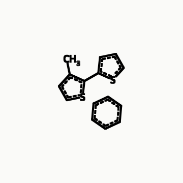 Cc1ccsc1-c1cccs1.c1ccccc1